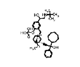 CO[C@]1(C#CC(O)(c2ccccc2)C2CCCCCCC2)C[N+]2(Cc3cc(C(O)CNC(C)(C)C)ccc3OP(=O)(O)O)CCC1CC2